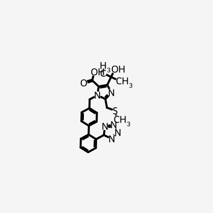 CSCc1nc(C(C)(C)O)c(C(=O)O)n1Cc1ccc(-c2ccccc2C2N=NN=N2)cc1